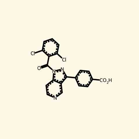 O=C(O)c1ccc(-c2nn(C(=O)c3c(Cl)cccc3Cl)c3ccncc23)cc1